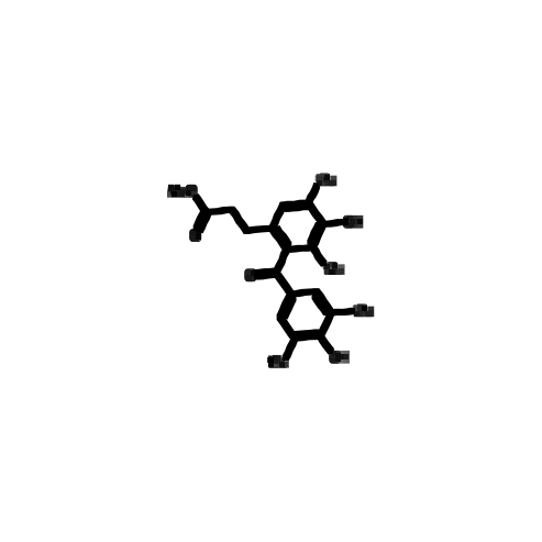 COC(=O)CCc1cc(C(C)(C)C)c(O)c(C(C)(C)C)c1C(=O)c1cc(C(C)(C)C)c(O)c(C(C)(C)C)c1